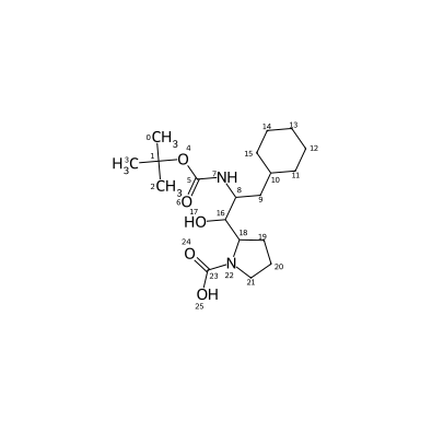 CC(C)(C)OC(=O)NC(CC1CCCCC1)C(O)C1CCCN1C(=O)O